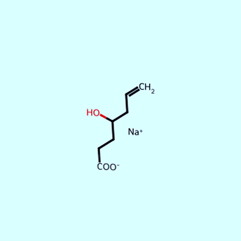 C=CCC(O)CCC(=O)[O-].[Na+]